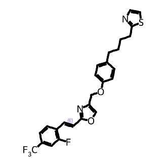 Fc1cc(C(F)(F)F)ccc1/C=C/c1nc(COc2ccc(CCCCc3nccs3)cc2)co1